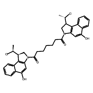 C[C@H](Cl)C1CN(C(=O)CCCCCC(=O)N2C[C@H]([C@H](C)Cl)c3c2cc(O)c2ccccc32)c2cc(O)c3ccccc3c21